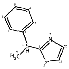 C[SH](c1cc[c]cc1)c1nccs1